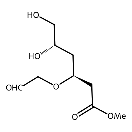 COC(=O)C[C@H](C[C@H](O)CO)OCC=O